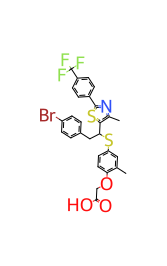 Cc1cc(SC(Cc2ccc(Br)cc2)c2sc(-c3ccc(C(F)(F)F)cc3)nc2C)ccc1OCC(=O)O